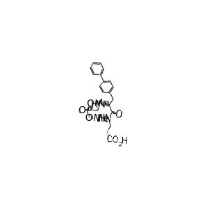 COP(=O)(CNC(Cc1ccc(-c2ccccc2)cc1)C(=O)NCCC(=O)O)OC